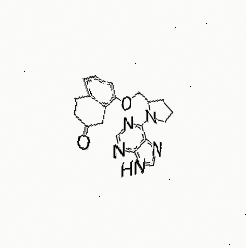 O=C1CCc2cccc(OCC3CCCN3c3ncnc4[nH]cnc34)c2C1